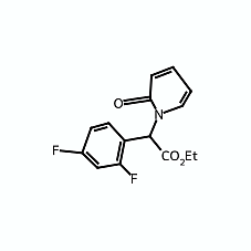 CCOC(=O)C(c1ccc(F)cc1F)n1ccccc1=O